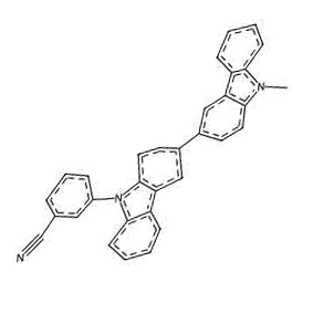 Cn1c2ccccc2c2cc(-c3ccc4c(c3)c3ccccc3n4-c3cccc(C#N)c3)ccc21